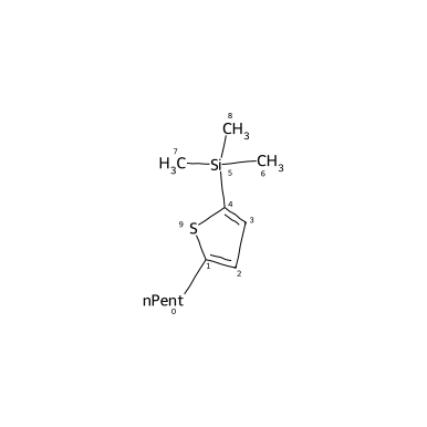 CCCCCc1ccc([Si](C)(C)C)s1